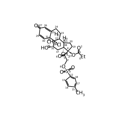 CCC(=O)O[C@]1(C(=O)COS(=O)(=O)c2ccc(C)cc2)CC[C@H]2[C@@H]3CCC4=CC(=O)C=C[C@]4(C)[C@@]3(Cl)[C@H](O)C[C@@]21C